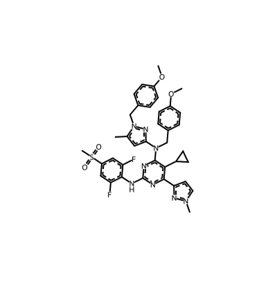 COc1ccc(CN(c2cc(C)n(Cc3ccc(OC)cc3)n2)c2nc(Nc3c(F)cc(S(C)(=O)=O)cc3F)nc(-c3ccn(C)n3)c2C2CC2)cc1